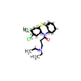 CCN(CC)CCC(=O)N1c2ccccc2Sc2ccc(Cl)cc21.[Cl-].[H+]